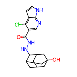 O=C(NNC1C2CC3CC1CC(O)(C3)C2)c1cnc2[nH]ccc2c1Cl